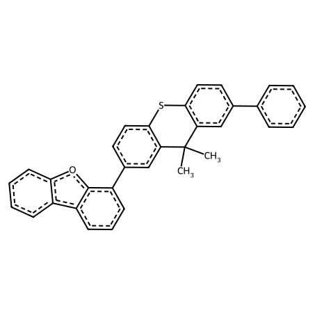 CC1(C)c2cc(-c3ccccc3)ccc2Sc2ccc(-c3cccc4c3oc3ccccc34)cc21